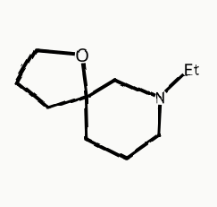 CCN1CCCC2(CCCO2)C1